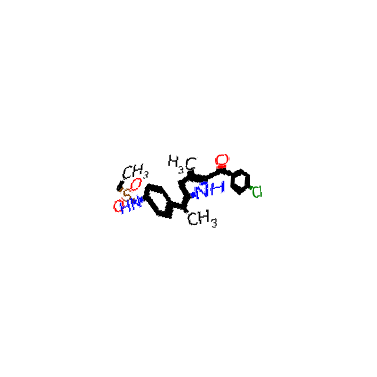 CCS(=O)(=O)Nc1ccc(C(C)c2cc(C)c(C(=O)c3ccc(Cl)cc3)[nH]2)cc1